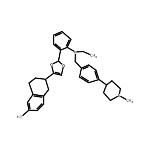 CCN(Cc1ccc(C2CCN(C)CC2)cc1)c1ccccc1C1OC=C(C2CCc3cc(O)ccc3C2)O1